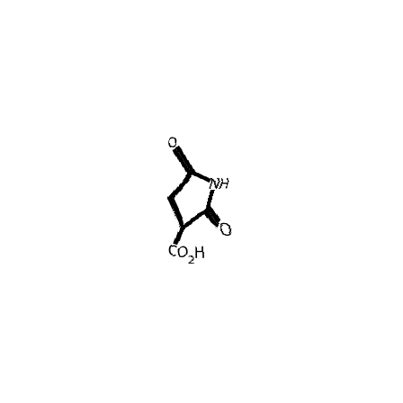 O=C1CC(C(=O)O)C(=O)N1